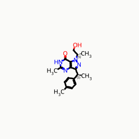 Cc1ccc([C@H](C)c2nn([C@@H](C)CO)c3c(=O)[nH]c(C)nc23)cc1